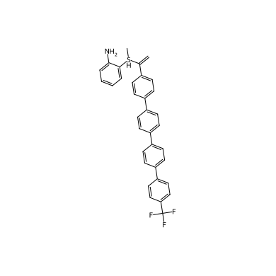 C=C(c1ccc(-c2ccc(-c3ccc(-c4ccc(C(F)(F)F)cc4)cc3)cc2)cc1)[SH](C)c1ccccc1N